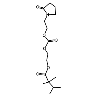 CC(C)C(C)(C)C(=O)OCCOC(=O)OCCN1CCCC1=O